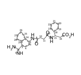 N=C(N)c1ccc(NC(=O)CCC(=O)NC(CC(=O)O)c2ccccc2)c2ccccc12